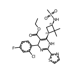 CCOC(=O)C1=C([C@H]2C[C@@H](NS(C)(=O)=O)C2(C)C)NC(c2nccs2)=NC1c1ccc(F)cc1Cl